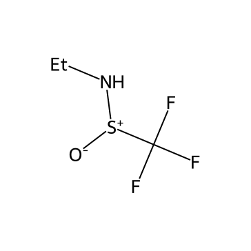 CCN[S+]([O-])C(F)(F)F